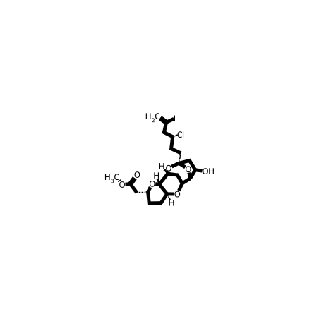 C=C(I)C[C@H](Cl)CC[C@]12CC(O)C(O1)C1C[C@@H](O2)[C@H]2O[C@@H](CC(=O)OC)CC[C@@H]2O1